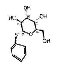 OC[C@H]1O[C@H](Sc2ccccc2)[C@@H](O)[C@H](O)[C@@H]1O